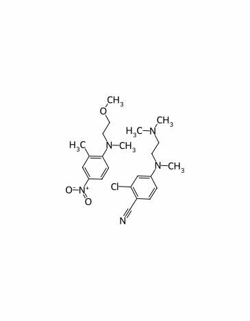 CN(C)CCN(C)c1ccc(C#N)c(Cl)c1.COCCN(C)c1ccc([N+](=O)[O-])cc1C